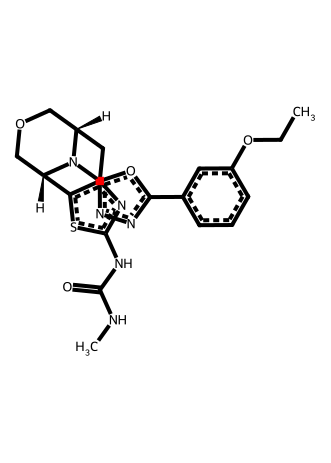 CCOc1cccc(-c2nnc(N3[C@@H]4COC[C@H]3c3sc(NC(=O)NC)nc3C4)o2)c1